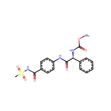 CC(C)(C)OC(=O)N[C@H](C(=O)Nc1ccc(C(=O)NS(C)(=O)=O)cc1)c1ccccc1